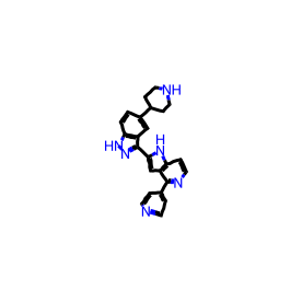 c1cc(-c2nccc3[nH]c(-c4n[nH]c5ccc(C6CCNCC6)cc45)cc23)ccn1